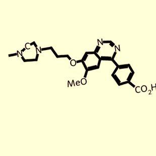 COc1cc2c(-c3ccc(C(=O)O)cc3)ncnc2cc1OCCCN1CCN(C)CC1